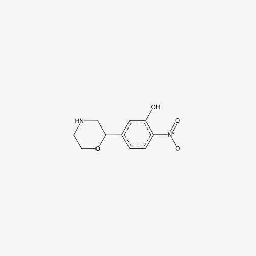 O=[N+]([O-])c1ccc(C2CNCCO2)cc1O